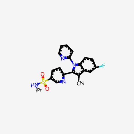 CC(C)NS(=O)(=O)c1ccc(-c2c(C#N)c3cc(F)ccc3n2-c2ccccn2)nc1